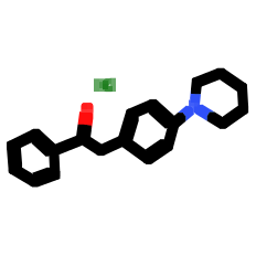 Cl.O=C(Cc1ccc(N2CCCCC2)cc1)c1ccccc1